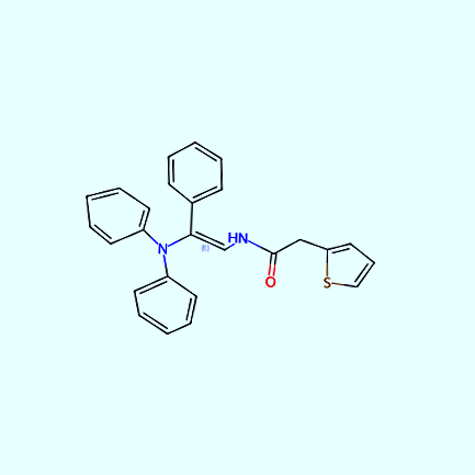 O=C(Cc1cccs1)N/C=C(\c1ccccc1)N(c1ccccc1)c1ccccc1